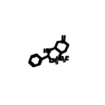 C[C@H](N[C@H]1CNCCC1C(=O)O)c1ccccc1